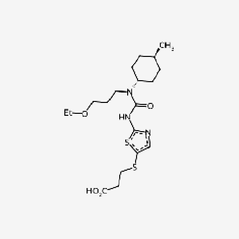 CCOCCCN(C(=O)Nc1ncc(SCCC(=O)O)s1)[C@H]1CC[C@H](C)CC1